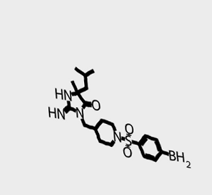 Bc1ccc(S(=O)(=O)N2CCC(CN3C(=N)NC(C)(CC(C)C)C3=O)CC2)cc1